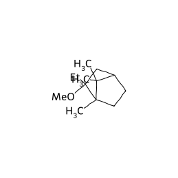 CCC1(OC)CC2CCC1(C)C2(C)C